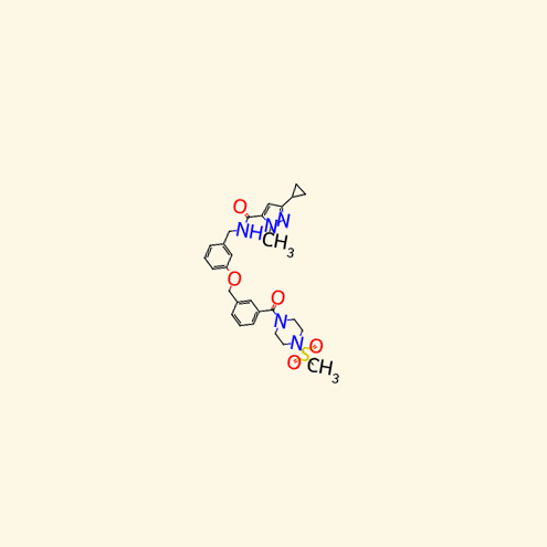 Cn1nc(C2CC2)cc1C(=O)NCc1cccc(OCc2cccc(C(=O)N3CCN(S(C)(=O)=O)CC3)c2)c1